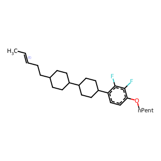 C/C=C/CCC1CCC(C2CCC(c3ccc(OCCCCC)c(F)c3F)CC2)CC1